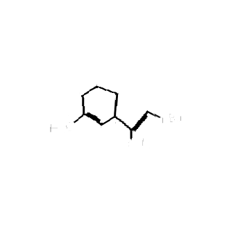 CCCCC=C(C)C1C=C(C)CCC1